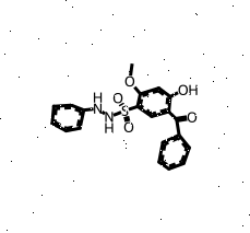 COc1cc(O)c(C(=O)c2ccccc2)cc1S(=O)(=O)NNc1ccccc1